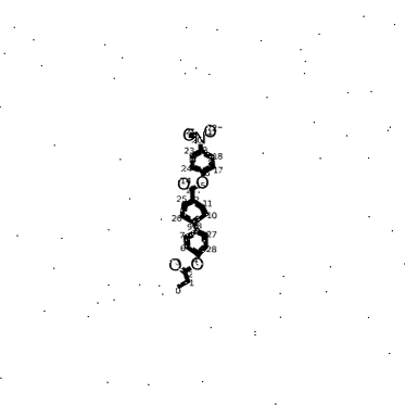 CCC(=O)Oc1ccc(-c2ccc(C(=O)Oc3ccc([N+](=O)[O-])cc3)cc2)cc1